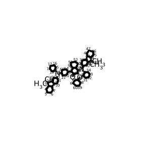 CC1(C)c2ccccc2-c2ccc(N(c3ccccc3)c3ccc(-c4c5c(c(N(c6ccccc6)c6ccc7c(c6)C(C)(C)c6ccccc6-7)c6ccccc46)Oc4ccccc4O5)cc3)cc21